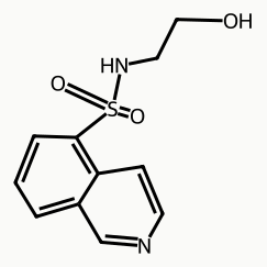 O=S(=O)(NCCO)c1cccc2cnccc12